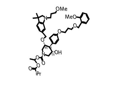 COCCCN1CC(C)(C)c2ccc(CO[C@H]3CN(C(=O)OC(C)OC(=O)C(C)C)C[C@@H](O)[C@@H]3c3ccc(OCCCOCc4ccccc4OC)cc3)cc21